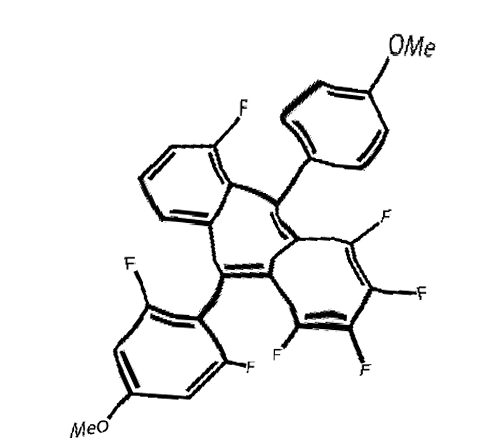 COc1ccc(-c2c3c(F)cccc3c(-c3c(F)cc(OC)cc3F)c3c(F)c(F)c(F)c(F)c23)cc1